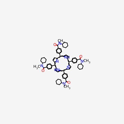 CN(C(=O)c1ccc(-c2c3nc(c(-c4ccc(C(=O)N(C)C5CCCCC5)cc4)c4ccc([nH]4)c(-c4ccc(C(=O)N(C)C5CCCCC5)cc4)c4nc(c(-c5ccc(C(=O)N(C)C6CCCCC6)cc5)c5ccc2[nH]5)C=C4)C=C3)cc1)C1CCCCC1